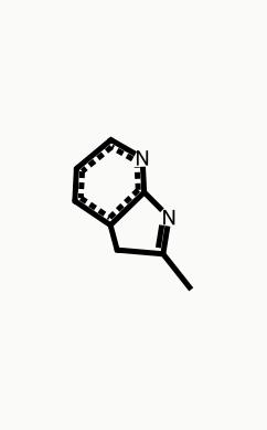 CC1=Nc2ncccc2C1